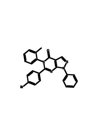 Cc1ccccc1-n1c(-c2ccc(Br)cc2)nc2c(cnn2-c2ccccc2)c1=O